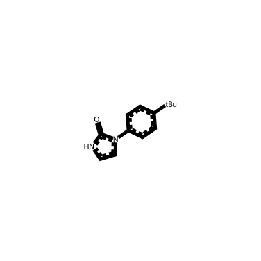 CC(C)(C)c1ccc(-n2cc[nH]c2=O)cc1